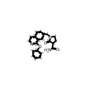 NC(=O)C1CCN(Cc2ccc3ccnc(Oc4ccccc4)c3c2)C1=O